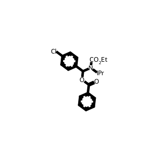 CCOC(=O)N(C(C)C)C(OC(=O)c1ccccc1)c1ccc(Cl)cc1